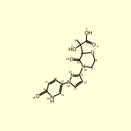 CC(O)(C(=O)O)C1OCCN(c2ccn(-c3ccc(=O)[nH]c3)n2)C1=O